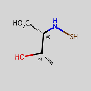 C[C@H](O)[C@@H](NS)C(=O)O